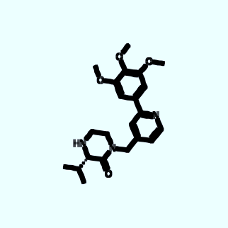 COc1cc(-c2cc(CN3CCN[C@@H](C(C)C)C3=O)ccn2)cc(OC)c1OC